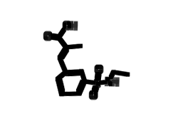 CCNS(=O)(=O)c1cccc(/C=C(\C)C(=O)O)c1